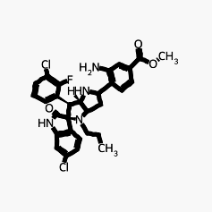 CCCN1C2CC(c3ccc(C(=O)OC)cc3N)N[C@H]2[C@H](c2cccc(Cl)c2F)[C@]12C(=O)Nc1cc(Cl)ccc12